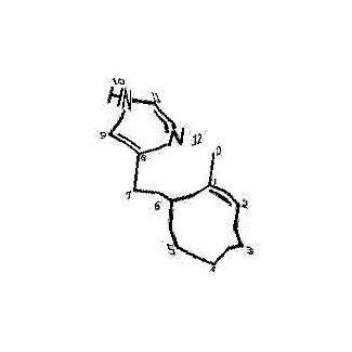 CC1=CCCCC1Cc1c[nH]cn1